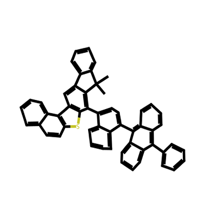 CC1(C)c2ccccc2-c2cc3c(sc4ccc5ccccc5c43)c(-c3ccc(-c4c5ccccc5c(-c5ccccc5)c5ccccc45)c4ccccc34)c21